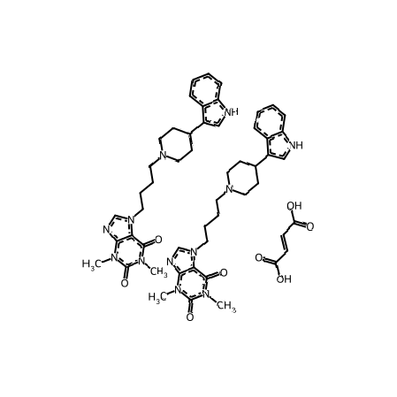 Cn1c(=O)c2c(ncn2CCCCN2CCC(c3c[nH]c4ccccc34)CC2)n(C)c1=O.Cn1c(=O)c2c(ncn2CCCCN2CCC(c3c[nH]c4ccccc34)CC2)n(C)c1=O.O=C(O)C=CC(=O)O